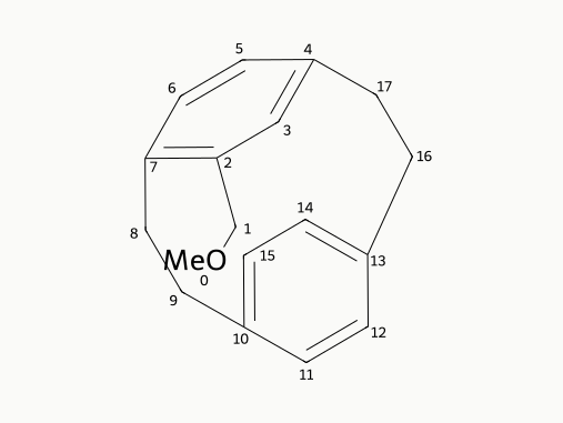 COCc1cc2ccc1CCc1ccc(cc1)CC2